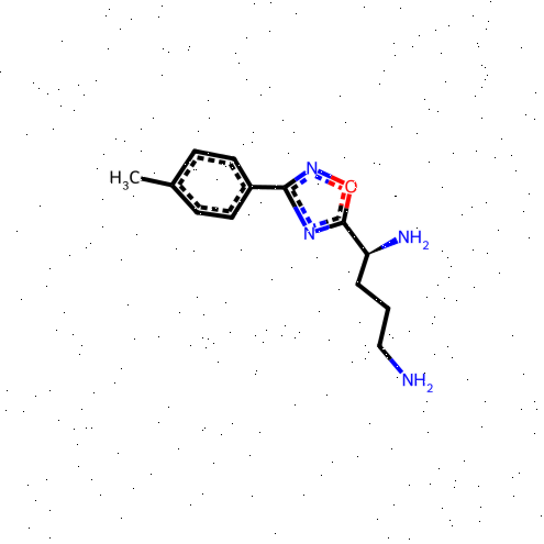 Cc1ccc(-c2noc([C@@H](N)CCCN)n2)cc1